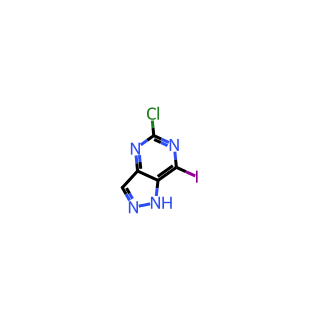 Clc1nc(I)c2[nH]ncc2n1